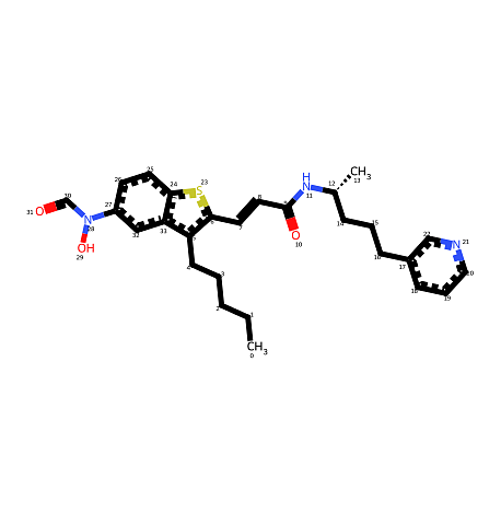 CCCCCc1c(/C=C/C(=O)N[C@H](C)CCCc2cccnc2)sc2ccc(N(O)C=O)cc12